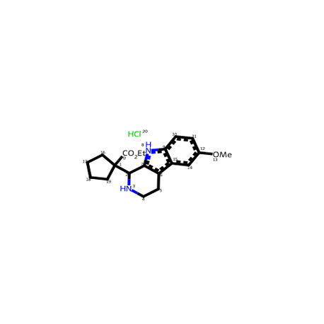 CCOC(=O)C1(C2NCCc3c2[nH]c2ccc(OC)cc32)CCCC1.Cl